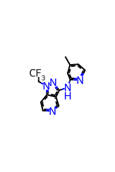 Cc1ccnc(Nc2nn(CC(F)(F)F)c3ccncc23)c1